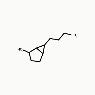 CCCCC1C2CCC(O)C12